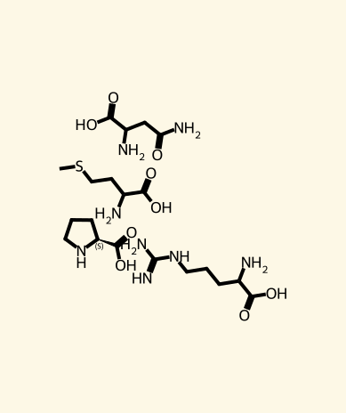 CSCCC(N)C(=O)O.N=C(N)NCCCC(N)C(=O)O.NC(=O)CC(N)C(=O)O.O=C(O)[C@@H]1CCCN1